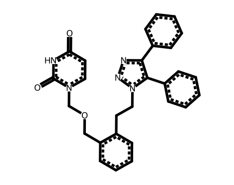 O=c1ccn(COCc2ccccc2CCn2nnc(-c3ccccc3)c2-c2ccccc2)c(=O)[nH]1